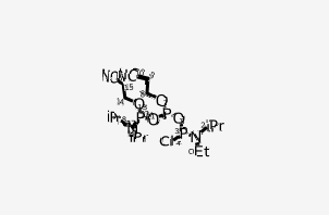 CCN(C(C)C)P(Cl)OP(OCCC#N)OP(OCCC#N)N(C(C)C)C(C)C